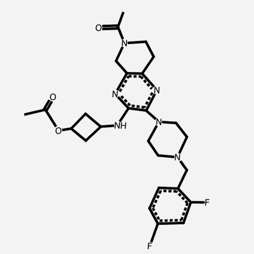 CC(=O)OC1CC(Nc2nc3c(nc2N2CCN(Cc4ccc(F)cc4F)CC2)CCN(C(C)=O)C3)C1